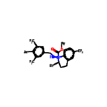 CCC1CCc2cc(C(F)(F)F)ccc2[N+]1(NCc1cc(C(F)(F)F)c(C(C)=O)c(C(F)(F)F)c1)C(=O)OC(C)C